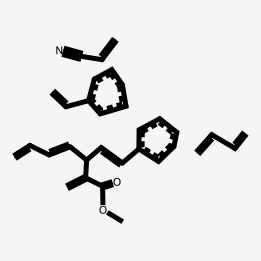 C=CC#N.C=CC=C.C=CC=CC(C=Cc1ccccc1)C(=C)C(=O)OC.C=Cc1ccccc1